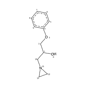 OC(COc1ccccc1)CN1CC1